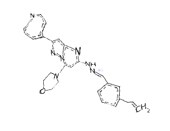 C=Cc1cccc(/C=N/Nc2cc(N3CCOCC3)n3nc(-c4ccncc4)cc3n2)c1